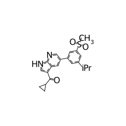 CC(C)c1cc(-c2cnc3[nH]cc(C(=O)C4CC4)c3c2)cc(S(C)(=O)=O)c1